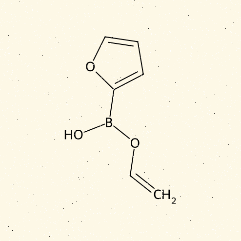 C=COB(O)c1ccco1